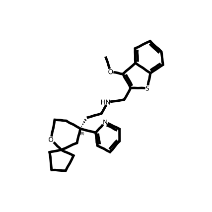 COc1c(CNCC[C@@]2(c3ccccn3)CCOC3(CCCC3)C2)sc2ccccc12